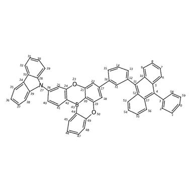 c1ccc(-c2c3ccccc3c(-c3cccc(-c4cc5c6c(c4)Oc4cc(-n7c8ccccc8c8ccccc87)ccc4B6c4ccccc4O5)c3)c3ccccc23)cc1